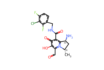 C[C@H]1C[C@H](N)c2c(C(=O)NCc3ccc(F)c(Cl)c3F)c(=O)c(O)c(C=O)n21